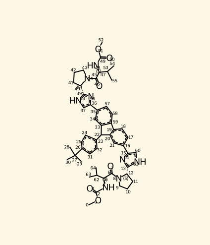 COC(=O)N[C@H](C(=O)N1CCC[C@H]1c1nc(-c2ccc3c(c2)C(c2ccc(C(C)(C)C)cc2)c2cc(-c4c[nH]c([C@@H]5CCCN5C(=O)[C@@H](NC(=O)OC)C(C)C)n4)ccc2-3)c[nH]1)C(C)C